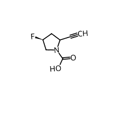 C#CC1C[C@H](F)CN1C(=O)O